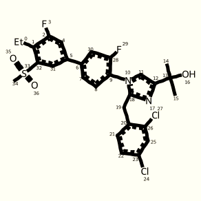 CCc1c(F)cc(-c2ccc(-n3cc(C(C)(C)O)nc3Cc3ccc(Cl)cc3Cl)c(F)c2)cc1S(C)(=O)=O